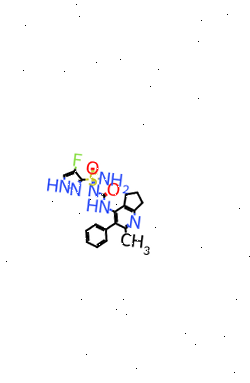 Cc1nc2c(c(NC(=O)N=S(N)(=O)c3n[nH]cc3F)c1-c1ccccc1)CCC2